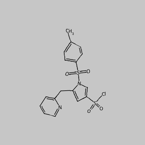 Cc1ccc(S(=O)(=O)n2cc(S(=O)(=O)Cl)cc2Cc2ccccn2)cc1